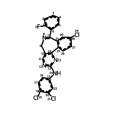 Fc1ccccc1C1=NCc2cnc(Nc3ccc(Cl)c(Cl)c3)nc2-c2ccc(Cl)cc21